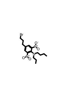 CCCCN(CCC)c1c([N+](=O)[O-])cc(CCCBr)cc1[N+](=O)[O-]